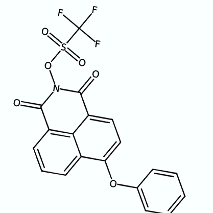 O=C1c2cccc3c(Oc4ccccc4)ccc(c23)C(=O)N1OS(=O)(=O)C(F)(F)F